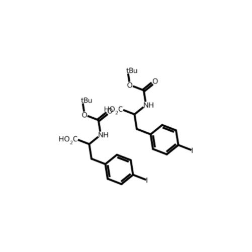 CC(C)(C)OC(=O)NC(Cc1ccc(I)cc1)C(=O)O.CC(C)(C)OC(=O)NC(Cc1ccc(I)cc1)C(=O)O